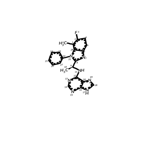 Cc1c(F)ccc2nc([C@H](C)Nc3ncnc4[nH]cnc34)n(-c3ccccc3)c12